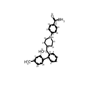 Cc1ccc(-c2ccccc2[C@H](O)C2CCN(c3ccc(C(N)=O)cc3)CC2)cc1